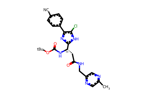 Cc1cnc(CNC(=O)C[C@H](NC(=O)OC(C)(C)C)c2nc(-c3ccc(C#N)cc3)c(Cl)[nH]2)cn1